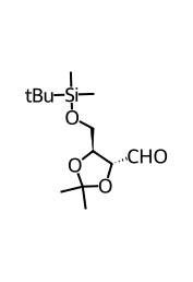 CC1(C)O[C@@H](C=O)[C@H](CO[Si](C)(C)C(C)(C)C)O1